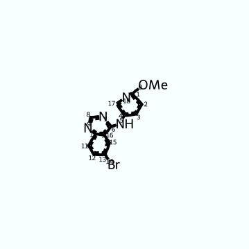 COc1ccc(Nc2ncnc3ccc(Br)cc23)cn1